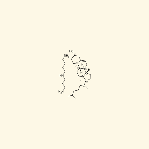 CC(C)CCC[C@@H](C)[C@H]1CC[C@H]2[C@@H]3CC=C4C[C@@H](O)CC[C@]4(C)[C@H]3CC[C@]12C.NCCCCNCCCN